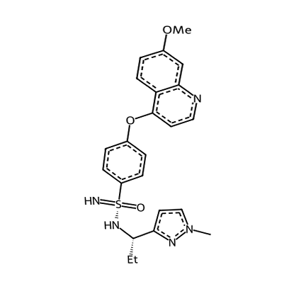 CC[C@H](N[S@@](=N)(=O)c1ccc(Oc2ccnc3cc(OC)ccc23)cc1)c1ccn(C)n1